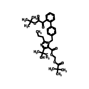 CCCc1nc(C(C)(C)O)c(C(=O)OCOC(=O)C(C)(C)C)n1Cc1ccc(-c2ccccc2C(=O)C(=O)OC(C)(C)C)cc1